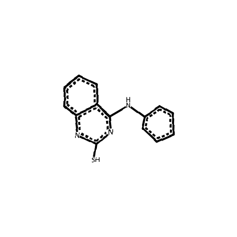 Sc1nc(Nc2ccccc2)c2ccccc2n1